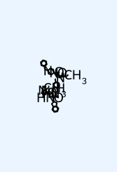 CCC(=O)N[C@H](Cc1ccc(CNC(=O)[C@@H](NC(=O)c2ccnn2C)C2Cc3ccccc3C2)cc1)C(=O)N1CCN(Cc2ccccc2)CC1